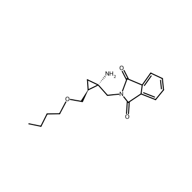 CCCCOC[C@H]1C[C@@]1(N)CN1C(=O)c2ccccc2C1=O